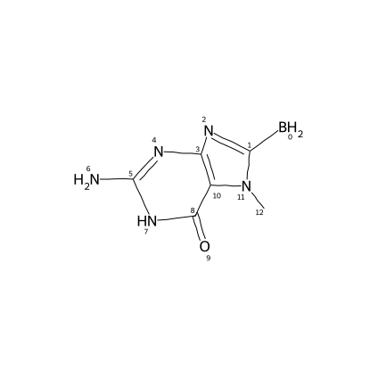 Bc1nc2nc(N)[nH]c(=O)c2n1C